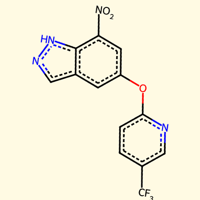 O=[N+]([O-])c1cc(Oc2ccc(C(F)(F)F)cn2)cc2cn[nH]c12